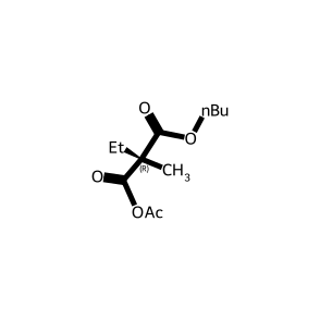 CCCCOC(=O)[C@@](C)(CC)C(=O)OC(C)=O